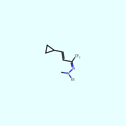 CCN(C)/N=C(\C=C\C1CC1)C(F)(F)F